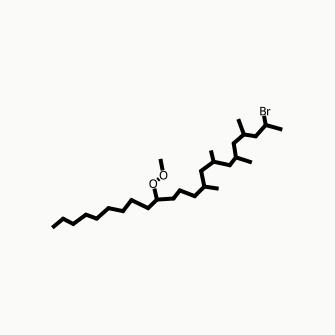 CCCCCCCCCC(CCCC(C)CC(C)CC(C)CC(C)CC(C)Br)OOC